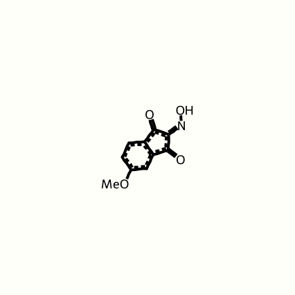 COc1ccc2c(=O)/c(=N\O)c(=O)c2c1